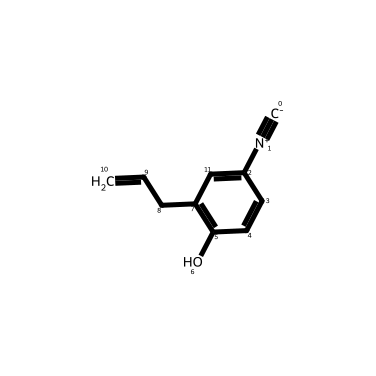 [C-]#[N+]c1ccc(O)c(CC=C)c1